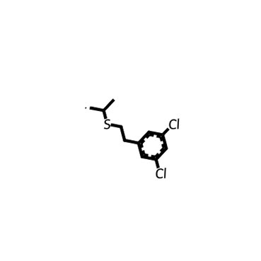 [CH2]C(C)SCCc1cc(Cl)cc(Cl)c1